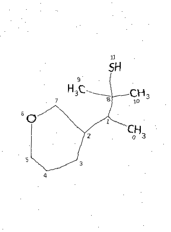 CC(C1CCCOC1)C(C)(C)S